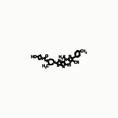 CCc1nc2sc(N3CCN(CC(=O)N4CC(O)C4)[C@@H](C)C3)nn2c1N(C)c1nc(-c2ccc(C)cc2)c(C#N)s1